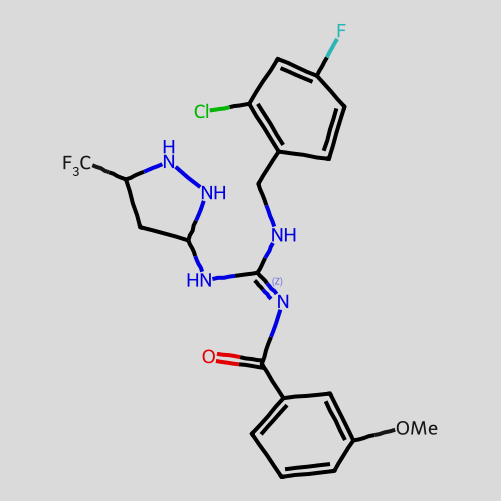 COc1cccc(C(=O)/N=C(/NCc2ccc(F)cc2Cl)NC2CC(C(F)(F)F)NN2)c1